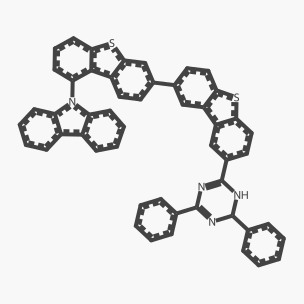 c1ccc(C2=NC(c3ccccc3)NC(c3ccc4sc5ccc(-c6ccc7c(c6)sc6cccc(-n8c9ccccc9c9ccccc98)c67)cc5c4c3)=N2)cc1